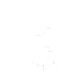 CCCCNC(=O)C(C)CC(O)C1C[C@H](C)CCCCCN(CC)C(=O)c2cc(OC)cc(c2)C(=O)N1